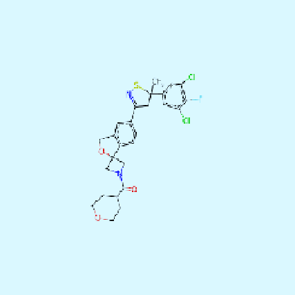 O=C(C1CCOCC1)N1CC2(C1)OCc1cc(C3=NS[C@@](c4cc(Cl)c(F)c(Cl)c4)(C(F)(F)F)C3)ccc12